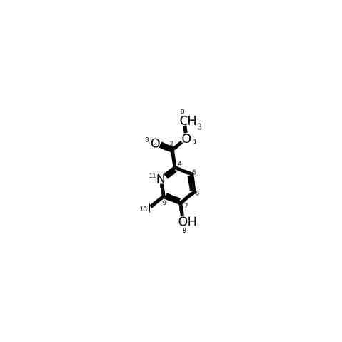 COC(=O)c1ccc(O)c(I)n1